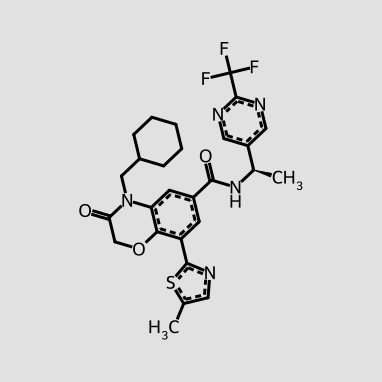 Cc1cnc(-c2cc(C(=O)N[C@H](C)c3cnc(C(F)(F)F)nc3)cc3c2OCC(=O)N3CC2CCCCC2)s1